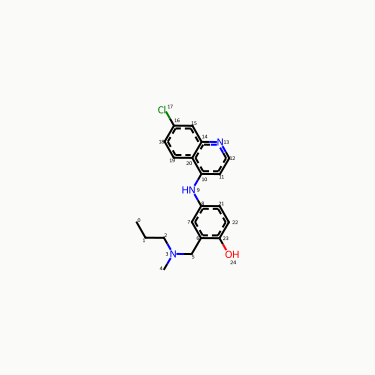 CCCN(C)Cc1cc(Nc2ccnc3cc(Cl)ccc23)ccc1O